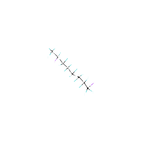 FC(F)(F)C(F)(I)C(F)(F)C(F)(F)C(F)(F)C(F)(F)C(F)(F)C(F)(F)I